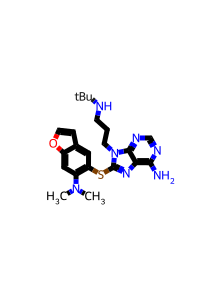 CN(C)c1cc2occc2cc1Sc1nc2c(N)ncnc2n1CCCNC(C)(C)C